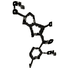 COc1ccc2c(Cl)c(C(=O)c3ccc(F)cc3C)sc2c1